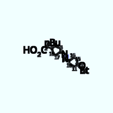 CCCCC(C(=O)O)c1ccc(/N=N/c2ccc(OCC)cc2)cc1